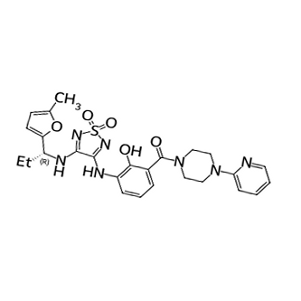 CC[C@@H](NC1=NS(=O)(=O)N=C1Nc1cccc(C(=O)N2CCN(c3ccccn3)CC2)c1O)c1ccc(C)o1